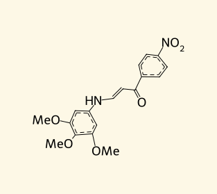 COc1cc(NC=CC(=O)c2ccc([N+](=O)[O-])cc2)cc(OC)c1OC